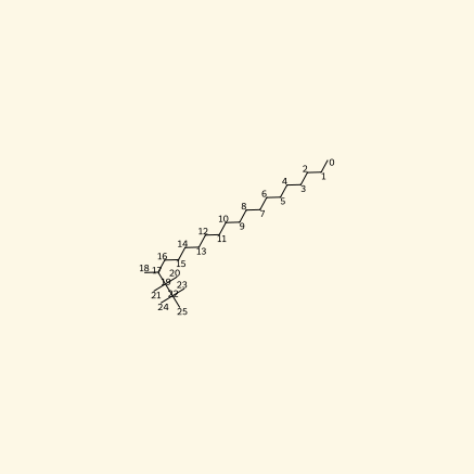 CCCCCCCCCCCCCCCCCC(C)C(C)(C)C(C)(C)C